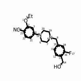 CCOc1cc(N2CCN(Cc3ccc(CO)c(F)c3)CC2)ccc1C#N